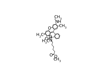 C=c1cc2c(cc1C)=C(c1ccccc1C(=O)N(C)CCCCCC(=O)OC)c1cc(C)c(NCC)cc1O2